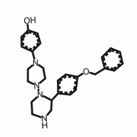 Oc1ccc(N2CCN(N3CCNCC3c3ccc(OCc4ccccc4)cc3)CC2)cc1